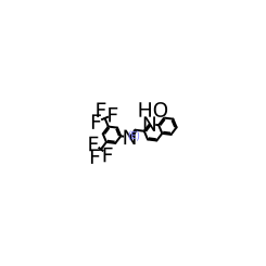 Oc1cccc2ccc(/C=N/c3cc(C(F)(F)F)cc(C(F)(F)F)c3)nc12